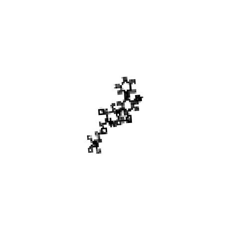 CC1C(=O)N(COCC[Si](C)(C)C)N=C2COc3cc(Br)c(N4CCCCC4)cc3N21